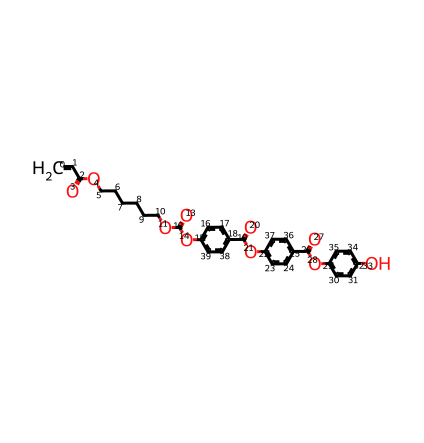 C=CC(=O)OCCCCCCOC(=O)Oc1ccc(C(=O)Oc2ccc(C(=O)Oc3ccc(O)cc3)cc2)cc1